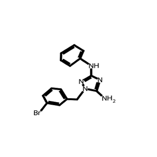 Nc1nc(Nc2ccccc2)nn1Cc1cccc(Br)c1